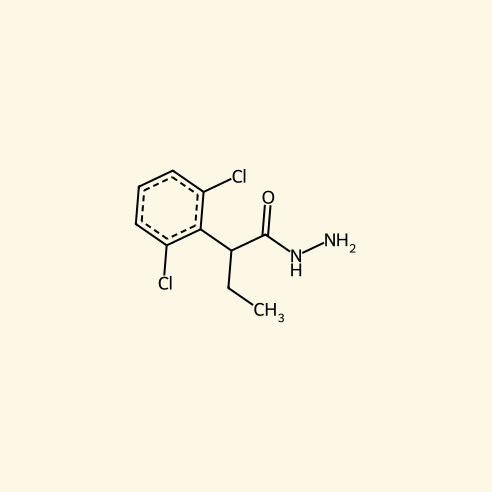 CCC(C(=O)NN)c1c(Cl)cccc1Cl